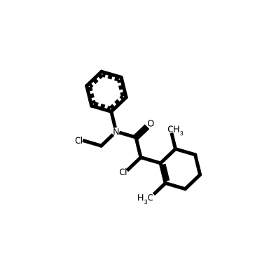 CC1=C(C(Cl)C(=O)N(CCl)c2ccccc2)C(C)CCC1